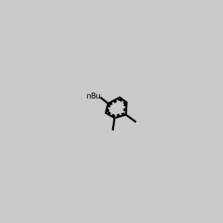 C[CH]CCc1ccc(C)c(C)c1